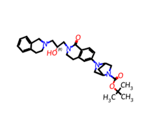 CC(C)(C)OC(=O)N1CC2CC1CN2c1ccc2c(c1)CCN(C[C@H](O)CN1CCc3ccccc3C1)C2=O